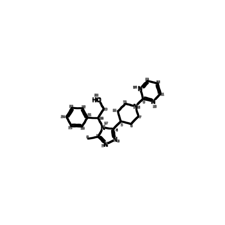 Cc1nnc(C2CCN(c3ncccn3)CC2)n1C(CO)c1ccccc1